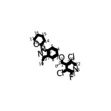 C[C@H](Oc1ccc2c(c1)c(I)nn2C1CCCCO1)c1c(Cl)cnc(F)c1Cl